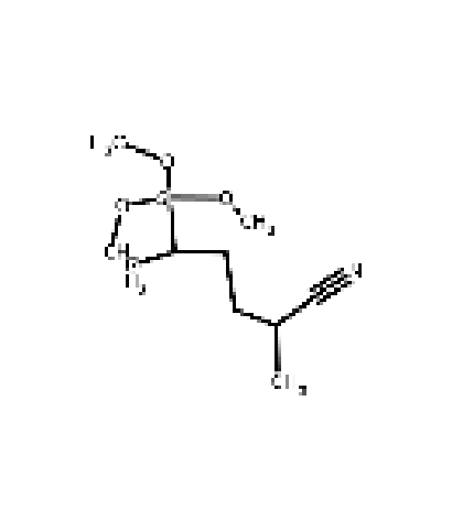 CO[Si](OC)(OC)C(C)CCC(C)C#N